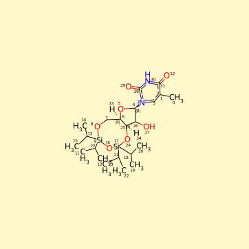 Cc1cn([C@@H]2O[C@@H]3CO[Si](C(C)C)(C(C)C)O[Si](C(C)C)(C(C)C)O[C@@H]3C2O)c(=O)[nH]c1=O